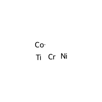 [Co].[Cr].[Ni].[Ti]